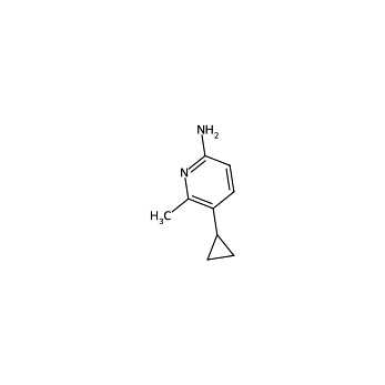 Cc1nc(N)ccc1C1CC1